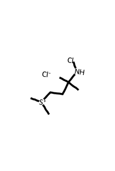 C[S+](C)CCC(C)(C)NCl.[Cl-]